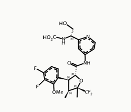 COc1c([C@H]2[C@H](C(=O)Nc3ccnc([C@@H](CO)NC(=O)O)c3)O[C@@](C)(C(F)(F)F)[C@H]2C)ccc(F)c1F